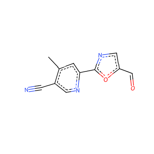 Cc1cc(-c2ncc(C=O)o2)ncc1C#N